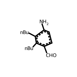 CCCCc1c(N)ccc(C=O)c1CCCC